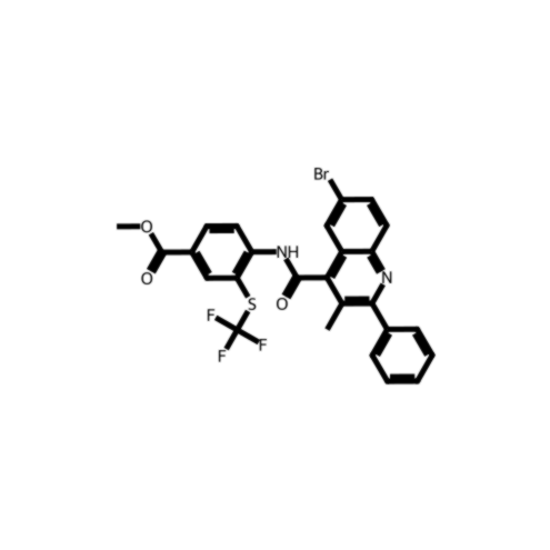 COC(=O)c1ccc(NC(=O)c2c(C)c(-c3ccccc3)nc3ccc(Br)cc23)c(SC(F)(F)F)c1